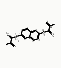 C=C(C)C(=O)[SH2]c1ccc2cc([SH2]C(=O)C(=C)C)ccc2c1